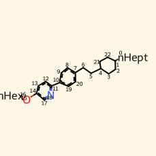 CCCCCCCC1CCC(CCc2ccc(-c3ccc(OCCCCCC)cn3)cc2)CC1